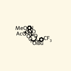 COc1ccnc(C(=O)N[C@H]2COC[C@H](Cc3ccc(C(F)(F)F)cc3)[C@@H](OCC(C)C)[C@H](C)OC2=O)c1OCOC(C)=O